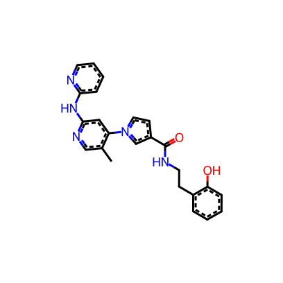 Cc1cnc(Nc2ccccn2)cc1-n1ccc(C(=O)NCCc2ccccc2O)c1